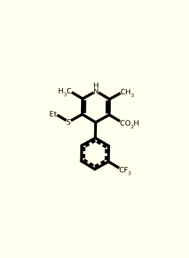 CCSC1=C(C)NC(C)=C(C(=O)O)C1c1cccc(C(F)(F)F)c1